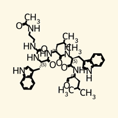 CC(=O)NCCNC(=O)N[C@@H](Cc1c[nH]c2ccccc12)C(=O)N[C@@H](CC(C)C)C(=O)N[C@@H](Cc1c[nH]c2ccccc12)C(=O)N[C@H](C=O)CC(C)C